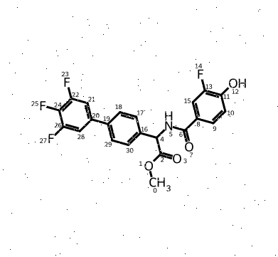 COC(=O)C(NC(=O)c1ccc(O)c(F)c1)c1ccc(-c2cc(F)c(F)c(F)c2)cc1